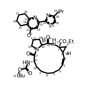 CCOC(=O)[C@@]12C[C@H]1/C=C\CCCCC[C@H](NC(=O)OC(C)(C)C)C(=O)N1C[C@H](Oc3cc(-c4nc(C(C)C)cs4)nc4c3CCCC4)C[C@H]1C(=O)N2